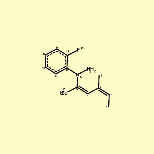 C/C=C(C)\C=C(/N(N)c1ccccc1F)C(C)(C)C